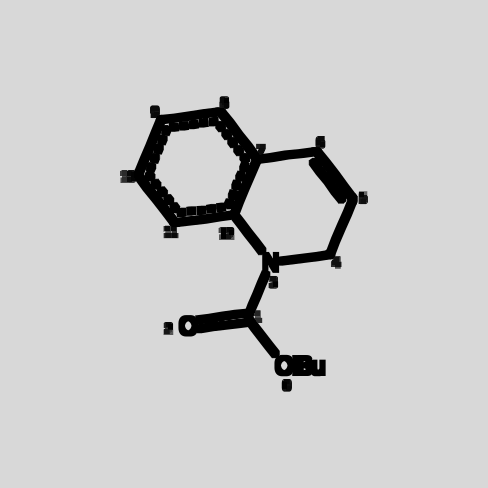 CC(C)COC(=O)N1CC=Cc2ccccc21